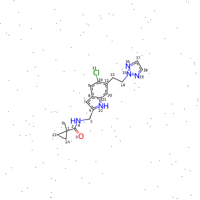 CC1(C(=O)NCc2cc3cc(Cl)c(CCn4nccn4)cc3[nH]2)CC1